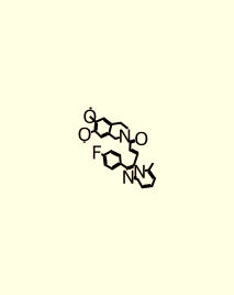 COc1cc2c(cc1OC)CN(C(=O)/C=C/c1c(-c3ccc(F)cc3)nc3cccc(C)n13)CC2